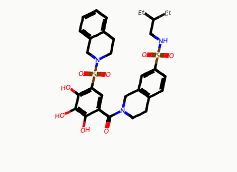 CCC(CC)CNS(=O)(=O)c1ccc2c(c1)CN(C(=O)c1cc(S(=O)(=O)N3CCc4ccccc4C3)c(O)c(O)c1O)CC2